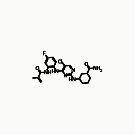 C=C(C)C(=O)Nc1cc(F)ccc1Nc1nc(NC2CCCC(C(N)=O)C2)ncc1Cl